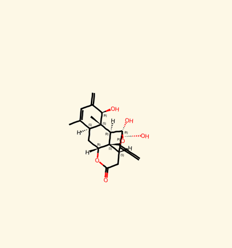 C=C1C=C(C)[C@@H]2C[C@H]3OC(=O)C[C@H]4C(=C)[C@@H](O)[C@]5(O)OC[C@]34[C@H]5[C@@]2(C)[C@@H]1O